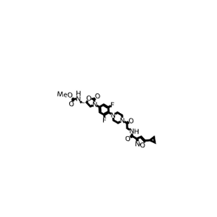 COC(=O)NC[C@H]1CN(c2cc(F)c(N3CCN(C(=O)CNC(=O)c4cc(C5CC5)on4)CC3)c(F)c2)C(=O)O1